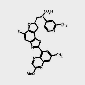 COc1cnc2c(-c3nc4cc(F)c5c(c4s3)C[C@H](CN(C(=O)O)c3ccnc(C)c3)O5)cc(C)cc2n1